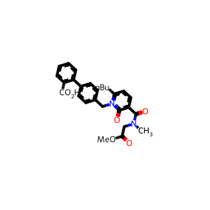 CCCCc1ccc(C(=O)N(C)CC(=O)OC)c(=O)n1Cc1ccc(-c2ccccc2C(=O)O)cc1